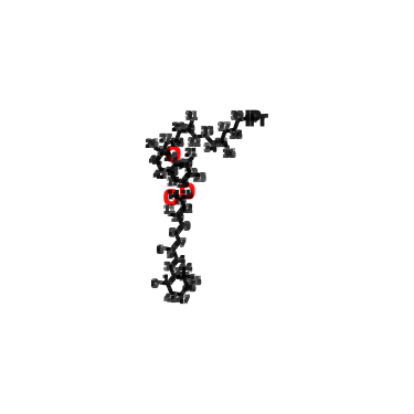 CC1=C(/C=C/C(C)=C/C=C/C(C)=C/C(=O)Oc2cc3c(c(C)c2C)OC(C)(CCCC(C)CCCC(C)CCCC(C)C)CC3)C(C)(C)CCC1